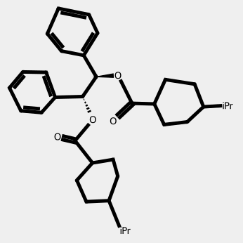 CC(C)C1CCC(C(=O)O[C@H](c2ccccc2)[C@H](OC(=O)C2CCC(C(C)C)CC2)c2ccccc2)CC1